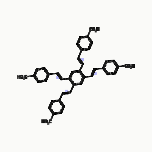 O=C(O)c1ccc(/C=C/c2cc(/C=C/c3ccc(C(=O)O)cc3)c(/C=C/c3ccc(C(=O)O)cc3)cc2/C=C/c2ccc(C(=O)O)cc2)cc1